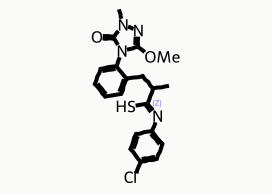 COc1nn(C)c(=O)n1-c1ccccc1CC(C)/C(S)=N/c1ccc(Cl)cc1